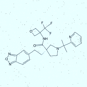 CC(C)(c1ccccn1)N1CC[C@@](CCc2ccc3nonc3c2)(C(=O)NC2(C(F)(F)F)COC2)C1